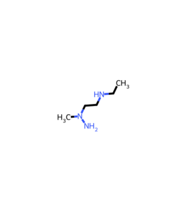 CCNCCN(C)N